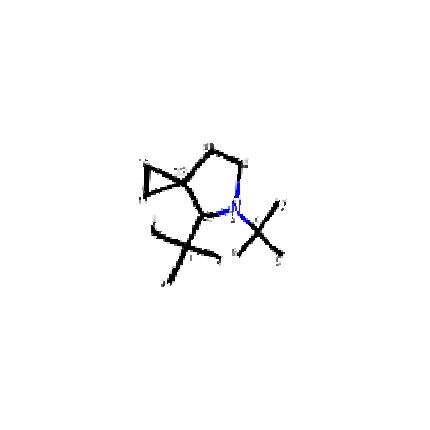 CC(C)(C)C1N(C(C)(C)C)CCC12CC2